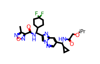 Cc1nonc1C(=O)N[C@H](c1cn2ncc([C@H](NC(=O)COC(C)C)C3CC3)cc2n1)C1CCC(F)(F)CC1